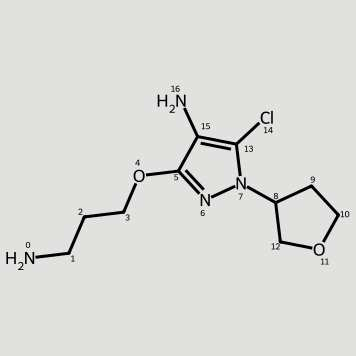 NCCCOc1nn(C2CCOC2)c(Cl)c1N